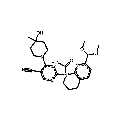 COC(OC)c1ccc2c(n1)[N+](C(N)=O)(c1cc(N3CCC(C)(O)CC3)c(C#N)cn1)CCC2